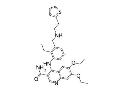 CCOc1cc2ncc(C(N)=O)c(Nc3cccc(CNCCc4cccs4)c3CC)c2cc1OCC